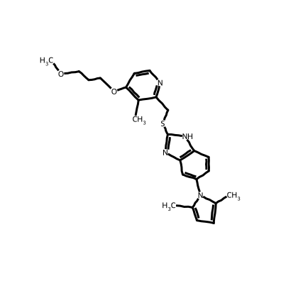 COCCCOc1ccnc(CSc2nc3cc(-n4c(C)ccc4C)ccc3[nH]2)c1C